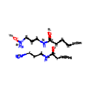 CCCCCCCCCCCC(=O)NCCCN.CCCCCCCCCCCCCC(=O)NCCC[NH2+][O-]